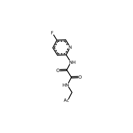 CC(=O)CNC(=O)C(=O)Nc1ccc(F)cn1